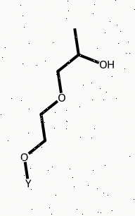 CC(O)COCC[O][Y]